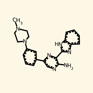 CN1CCN(c2cccc(-c3cnc(N)c(-c4nc5ccccc5[nH]4)n3)c2)CC1